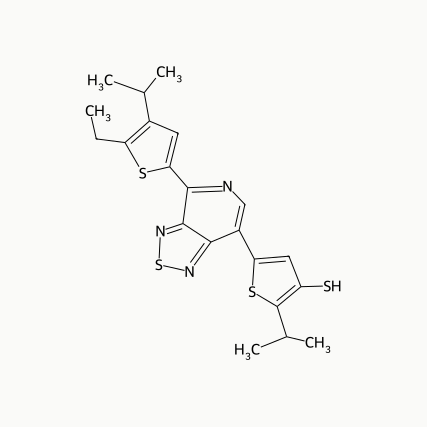 CCc1sc(-c2ncc(-c3cc(S)c(C(C)C)s3)c3nsnc23)cc1C(C)C